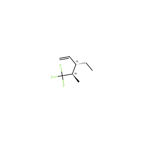 C=C[C@H](CC)[C@@H](C)C(F)(F)F